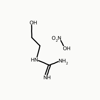 N=C(N)NCCO.O=[N+]([O-])O